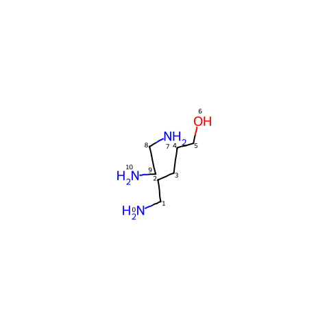 NCCCCCO.NCCN